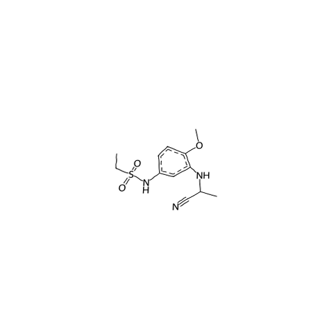 CCS(=O)(=O)Nc1ccc(OC)c(NC(C)C#N)c1